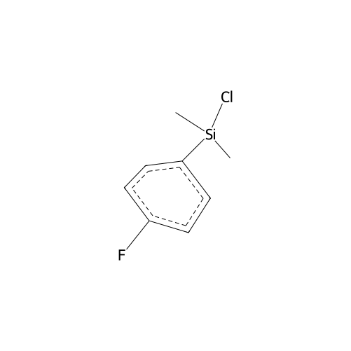 C[Si](C)(Cl)c1ccc(F)cc1